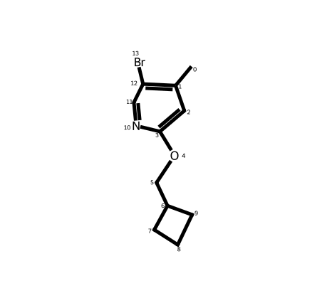 Cc1cc(OCC2CCC2)ncc1Br